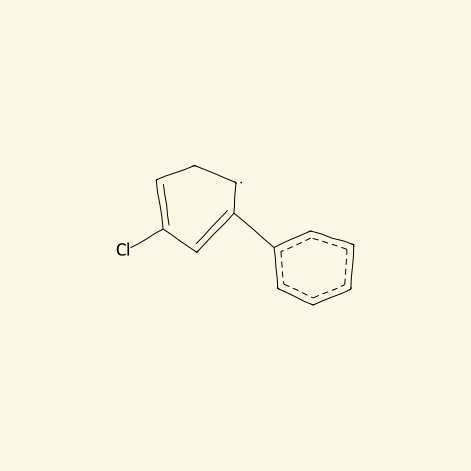 ClC1=CC[CH]C(c2ccccc2)=C1